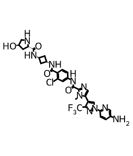 Cn1c(-c2cn(-c3ccc(N)cn3)nc2C(F)(F)F)cnc1C(=O)Nc1ccc(C(=O)N[C@H]2C[C@@H](NC(=O)[C@@H]3C[C@@H](O)CN3)C2)c(Cl)c1